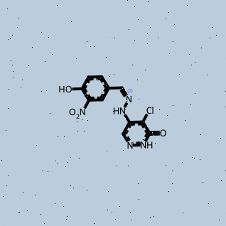 O=c1[nH]ncc(N/N=C\c2ccc(O)c([N+](=O)[O-])c2)c1Cl